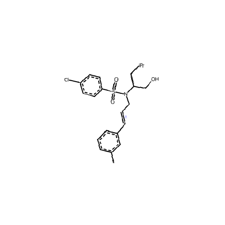 Cc1cccc(/C=C/CN(C(CO)CC(C)C)S(=O)(=O)c2ccc(Cl)cc2)c1